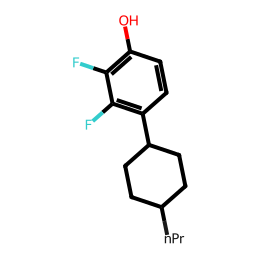 CCCC1CCC(c2ccc(O)c(F)c2F)CC1